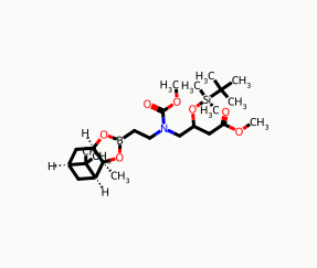 COC(=O)CC(CN(CCB1O[C@@H]2C[C@@H]3C[C@@H](C3(C)C)[C@]2(C)O1)C(=O)OC)O[Si](C)(C)C(C)(C)C